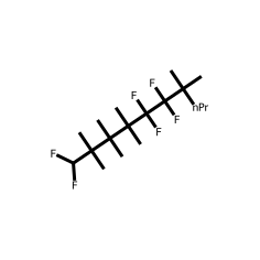 CCCC(C)(C)C(F)(F)C(F)(F)C(C)(C)C(C)(C)C(C)(C)C(F)F